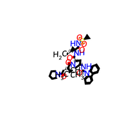 C=C[C@@H]1C[C@]1(NC(=O)[C@@H]1C[C@@H](NC(=O)n2c3ccccc3c3ccccc32)CN1C(=O)[C@@H](CC(=O)N1CCCCC1)C(C)(C)C)C(=O)NS(=O)(=O)C1CC1